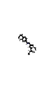 CCn1cc(/C=C/c2ccc3cccnc3n2)cc1C(=O)OC